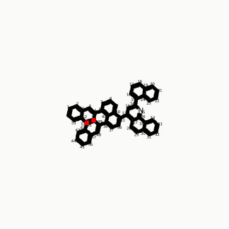 c1ccc2cc(-c3cccc4c(-c5cc(-c6cccc7ccccc67)nc6c5ccc5ccccc56)ccc(-c5ccc6ccccc6c5)c34)ccc2c1